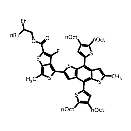 CCCCCCCCc1cc(-c2c3cc(-c4sc(C)c5sc(C(=O)OCC(CC)CCCC)c(F)c45)sc3c(-c3cc(CCCCCCCC)c(CCCCCCCC)s3)c3cc(C)sc23)sc1CCCCCCCC